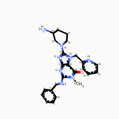 Cn1c(NCc2ccccc2)nc2nc(N3CCCC(N)C3)n(Cc3ccccn3)c2c1=O